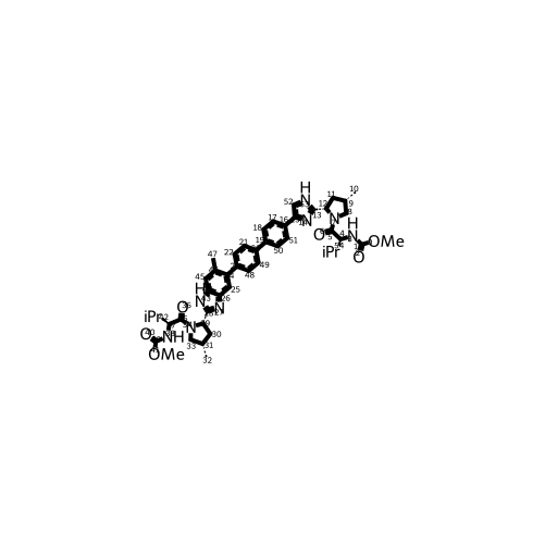 COC(=O)N[C@H](C(=O)N1C[C@@H](C)C[C@H]1c1nc(-c2ccc(-c3ccc(-c4cc5nc([C@@H]6C[C@H](C)CN6C(=O)[C@@H](NC(=O)OC)C(C)C)[nH]c5cc4C)cc3)cc2)c[nH]1)C(C)C